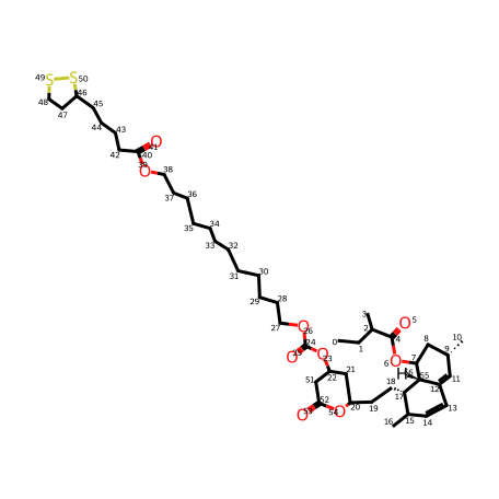 CCC(C)C(=O)OC1C[C@H](C)C=C2C=CC(C)[C@H](CCC3CC(OC(=O)OCCCCCCCCCCCCOC(=O)CCCCC4CCSS4)CC(=O)O3)[C@@H]21